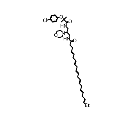 CCC=CCC=CCC=CCC=CCC=CCC=CCCC(=O)NCC(CNC(=O)C(C)(C)Oc1ccc(Cl)cc1)N1CCOCC1